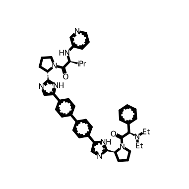 CCN(CC)[C@@H](C(=O)N1CCC[C@H]1c1ncc(-c2ccc(-c3ccc(-c4cnc([C@@H]5CCCN5C(=O)[C@@H](Nc5cccnc5)C(C)C)[nH]4)cc3)cc2)[nH]1)c1ccccc1